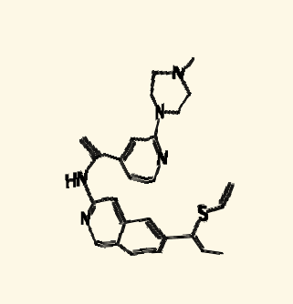 C=CS/C(=C\C)c1ccc2cnc(NC(=C)c3ccnc(N4CCN(C)CC4)c3)cc2c1